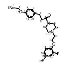 CC(C)(C)COc1ccc(CCC(=O)N2CCN(CCOc3ccc(F)cc3F)CC2)cc1